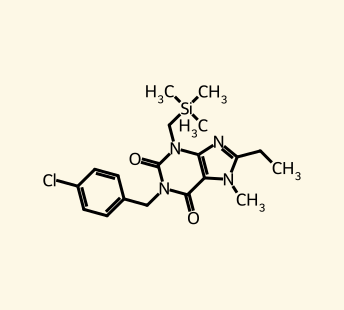 CCc1nc2c(c(=O)n(Cc3ccc(Cl)cc3)c(=O)n2C[Si](C)(C)C)n1C